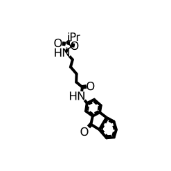 CC(C)S(=O)(=O)NCCCCC(=O)Nc1ccc2c(c1)C(=O)c1ccccc1-2